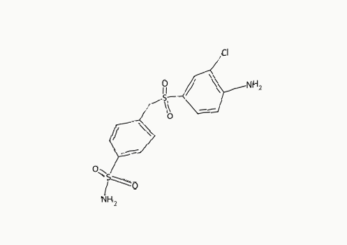 Nc1ccc(S(=O)(=O)Cc2ccc(S(N)(=O)=O)cc2)cc1Cl